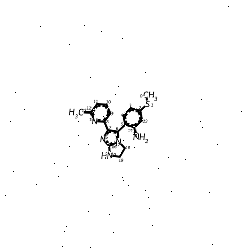 CSc1ccc(-c2c(-c3cccc(C)n3)nc3n2CCN3)c(N)c1